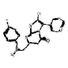 CCc1sc2nc(CN(CC)c3ccc(F)cc3)cc(=O)n2c1-c1cncnc1